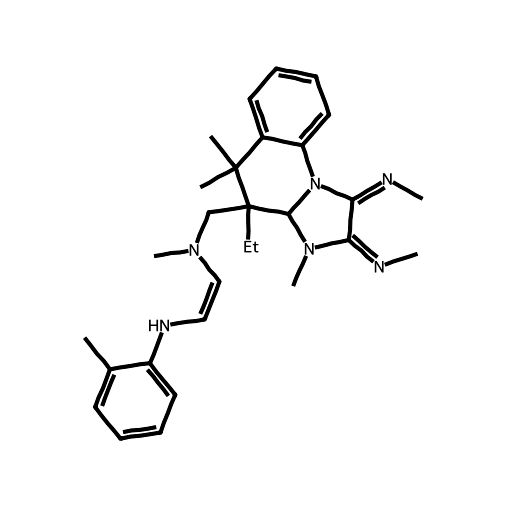 CCC1(CN(C)/C=C\Nc2ccccc2C)C2N(C)C(=N/C)/C(=N\C)N2c2ccccc2C1(C)C